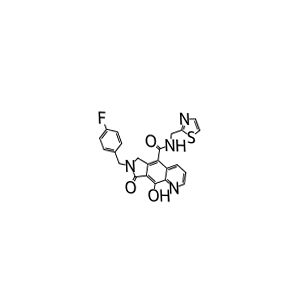 O=C(NCc1nccs1)c1c2c(c(O)c3ncccc13)C(=O)N(Cc1ccc(F)cc1)C2